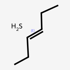 CC/C=C/CC.S